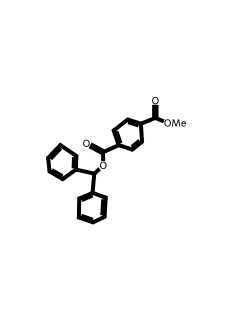 COC(=O)c1ccc(C(=O)OC(c2ccccc2)c2ccccc2)cc1